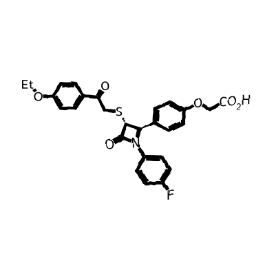 CCOc1ccc(C(=O)CS[C@H]2C(=O)N(c3ccc(F)cc3)[C@@H]2c2ccc(OCC(=O)O)cc2)cc1